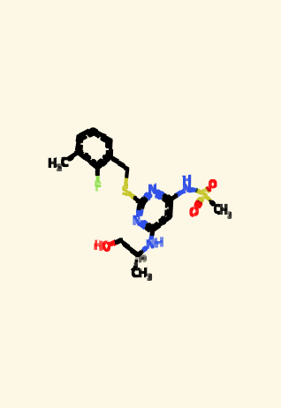 Cc1cccc(CSc2nc(N[C@H](C)CO)cc(NS(C)(=O)=O)n2)c1F